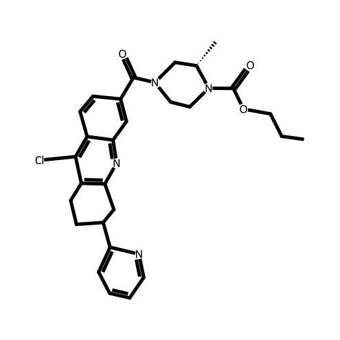 CCCOC(=O)N1CCN(C(=O)c2ccc3c(Cl)c4c(nc3c2)CC(c2ccccn2)CC4)C[C@@H]1C